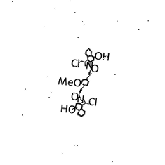 COc1cc(C#CC(=O)N2CC(CCl)c3c2cc(O)c2ccccc32)ccc1C#CC(=O)N1C[C@@H](CCl)c2c1cc(O)c1ccccc21